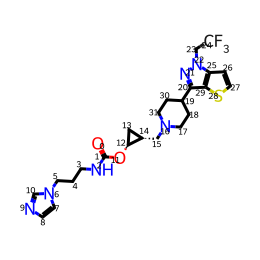 O=C(NCCCn1ccnc1)O[C@@H]1C[C@@H]1CN1CCC(c2nn(CC(F)(F)F)c3ccsc23)CC1